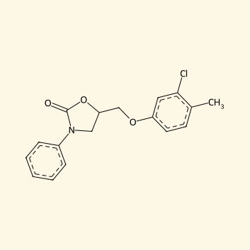 Cc1ccc(OCC2CN(c3ccccc3)C(=O)O2)cc1Cl